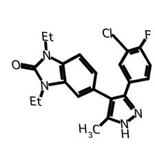 CCn1c(=O)n(CC)c2cc(-c3c(-c4ccc(F)c(Cl)c4)n[nH]c3C)ccc21